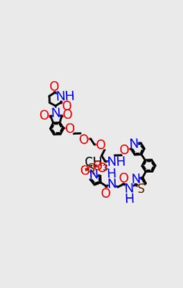 CS(=O)(=O)n1ccc(C(=O)NCC(=O)Nc2nc(-c3cccc(-c4ccnc(OCCNC(=O)CCOCCOCCOc5cccc6c5C(=O)N(C5CCC(=O)NC5=O)C6=O)c4)c3)cs2)c1